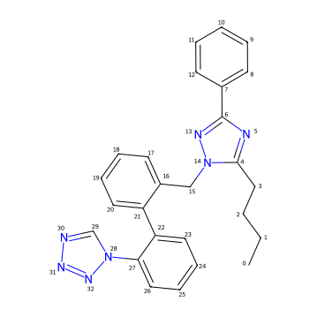 CCCCc1nc(-c2ccccc2)nn1Cc1ccccc1-c1ccccc1-n1cnnn1